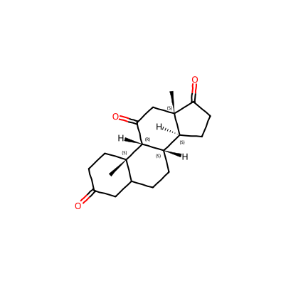 C[C@]12CCC(=O)CC1CC[C@@H]1[C@H]2C(=O)C[C@]2(C)C(=O)CC[C@@H]12